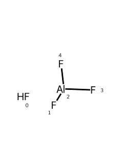 F.[F][Al]([F])[F]